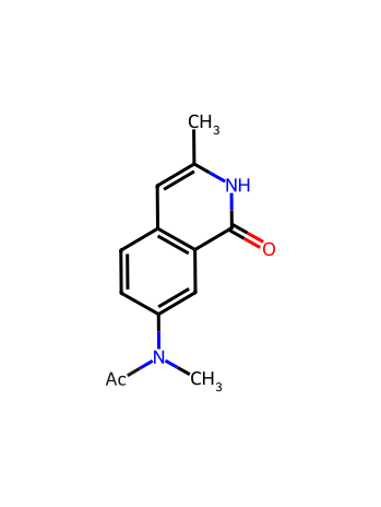 CC(=O)N(C)c1ccc2cc(C)[nH]c(=O)c2c1